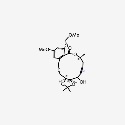 COCOc1cc(OC)cc2c1C(=O)O[C@@H](C)C/C=C\C(O)[C@H]1OC(C)(C)O[C@H]1CCC2